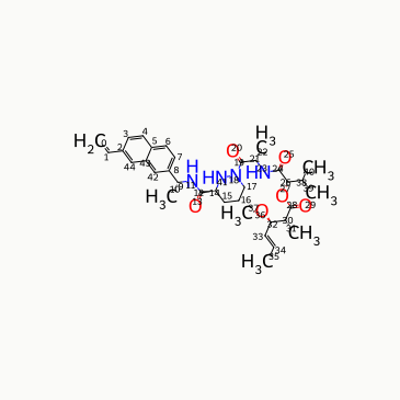 C=Cc1ccc2ccc([C@@H](C)NC(=O)[C@@H]3CCCN(C(=O)[C@H](C)NC(=O)[C@@H](OC(=O)[C@H](C)[C@@H](/C=C/C)OC)C(C)C)N3)cc2c1